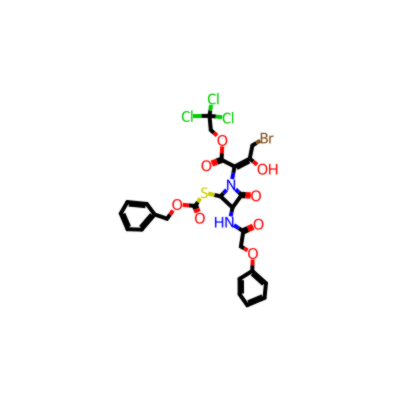 O=C(COc1ccccc1)NC1C(=O)N(C(C(=O)OCC(Cl)(Cl)Cl)=C(O)CBr)C1SC(=O)OCc1ccccc1